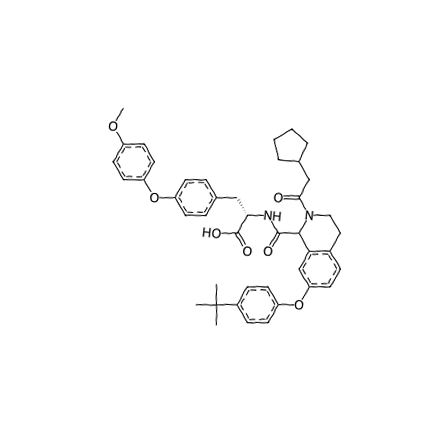 COc1ccc(Oc2ccc(C[C@H](NC(=O)C3c4cc(Oc5ccc(C(C)(C)C)cc5)ccc4CCN3C(=O)CC3CCCC3)C(=O)O)cc2)cc1